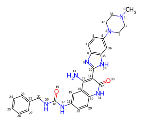 CN1CCN(c2ccc3nc(-c4c(N)c5cc(NC(=O)NCc6ccccc6)ccc5[nH]c4=O)[nH]c3c2)CC1